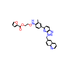 Cc1cc(-c2ccc3nnn(Cc4ccc5ncccc5c4)c3n2)ccc1NOCCOC(=O)c1ccco1